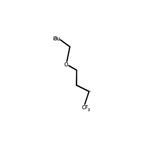 CCC(C)COCC[CH]C(F)(F)F